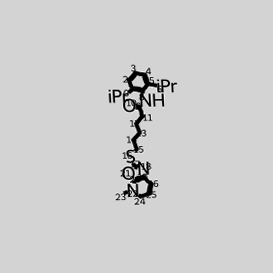 CC(C)c1cccc(C(C)C)c1NC(=O)CCCCCSc1nc2c(o1)N(C)CC=C2